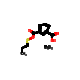 CCCSOC(=O)c1cccc(C(=O)O)c1.[MgH2]